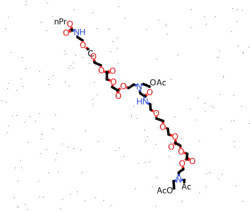 CCCOC(=O)NCCOCCOCCOC(=O)COCC(=O)OCCN(CCOC(C)=O)CC(=O)NCCOCCOCCOC(=O)COCC(=O)OCCN(CCOC(C)=O)CC(C)=O